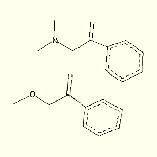 C=C(CN(C)C)c1ccccc1.C=C(COC)c1ccccc1